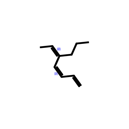 C=C/C=C\C(=C/C)CCC